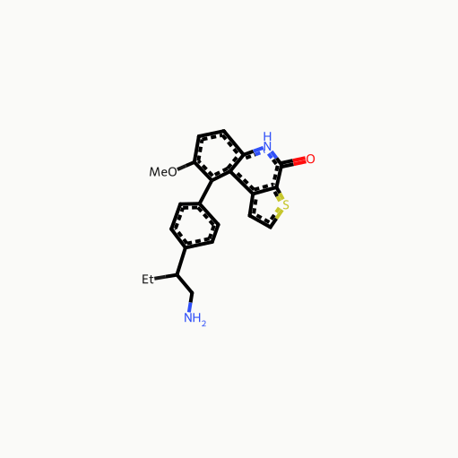 CCC(CN)c1ccc(-c2c(OC)ccc3[nH]c(=O)c4sccc4c23)cc1